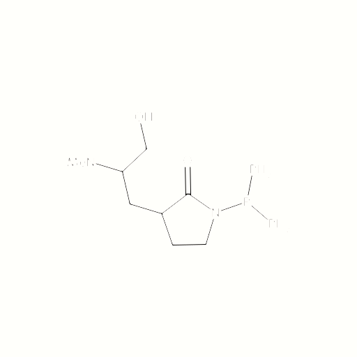 CNC(CO)CC1CCN(P(P)P)C1=O